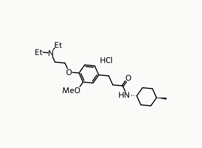 CCN(CC)CCOc1ccc(CCC(=O)N[C@H]2CC[C@H](C)CC2)cc1OC.Cl